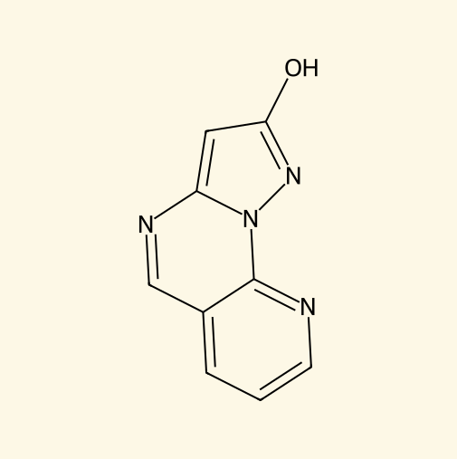 Oc1cc2ncc3cccnc3n2n1